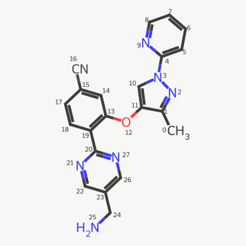 Cc1nn(-c2ccccn2)cc1Oc1cc(C#N)ccc1-c1ncc(CN)cn1